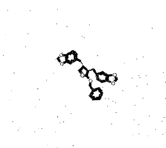 c1ccc(COC2OC[C@H](Cc3ccc4c(c3)OCO4)[C@H]2Cc2ccc3c(c2)OCO3)cc1